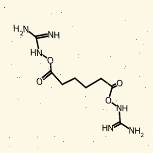 N=C(N)NOC(=O)CCCCC(=O)ONC(=N)N